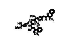 C/C=C(/C[C@H](NC(=O)[C@H](CCCNC(=N)NC)NC(=O)[C@H](CC(C)C)n1cc(CNC(=O)[C@@H](C)Cc2ccccc2)nn1)C(C)=O)c1ccccc1C